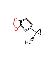 C#CC1(c2ccc3c(c2)OCO3)CC1